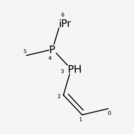 C/C=C\PP(C)C(C)C